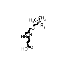 C[Si](C)(C)CCOCc1c[nH]c(C=CC(=O)O)n1